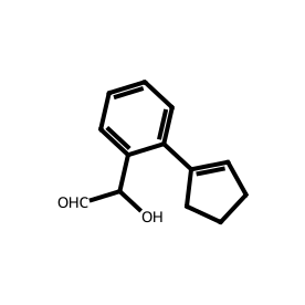 O=CC(O)c1ccccc1C1=CCCC1